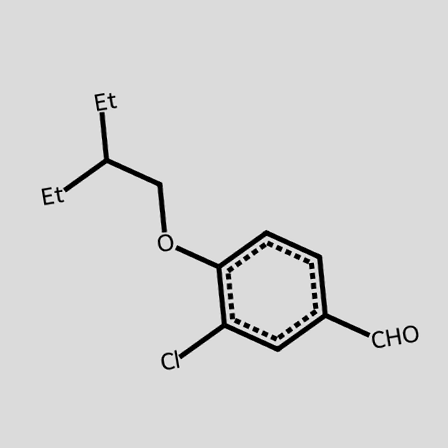 CCC(CC)COc1ccc(C=O)cc1Cl